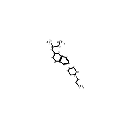 CCC[C@H]1CC[C@H](c2ccc3c(c2)CCC(CC(C)CC)C3)CC1